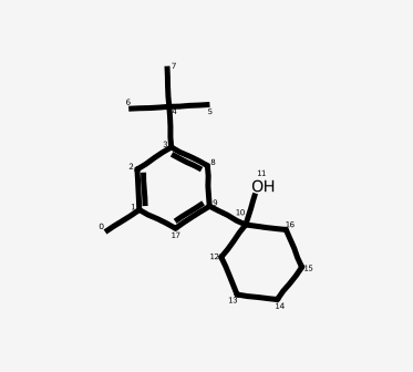 Cc1cc(C(C)(C)C)cc(C2(O)CCCCC2)c1